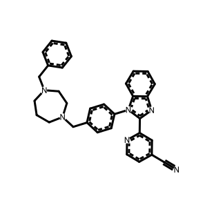 N#Cc1ccnc(-c2nc3ccccc3n2-c2ccc(CN3CCCN(Cc4ccccc4)CC3)cc2)c1